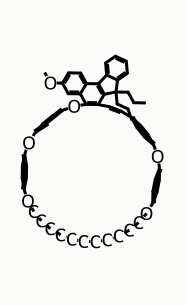 CCCC1(CCC)c2ccccc2-c2c1c1c(c3cc(OC)ccc23)Oc2ccc(cc2)Oc2ccc(cc2)OCCCCCCCCCCCOc2ccc(cc2)Oc2ccc(cc2)/C=C\1